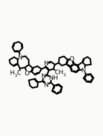 CC1C(C2=NC(C3=CCCCC3)=NC(c3ccccc3)N2)=C(C2C=CC3=C(C2)C2CCN(C4=CC=CCC=C4)C4CCCC=C4C(C)C2O3)N=CC1C1CCc2oc3c4c(ccc3c2C1)N(c1ccccc1)C1CCCC=C41